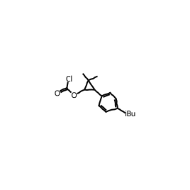 CCC(C)c1ccc(C2C(OC(=O)Cl)C2(C)C)cc1